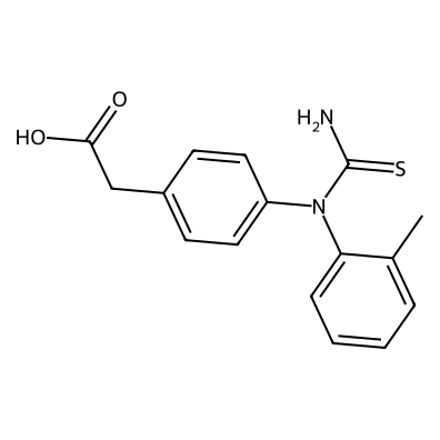 Cc1ccccc1N(C(N)=S)c1ccc(CC(=O)O)cc1